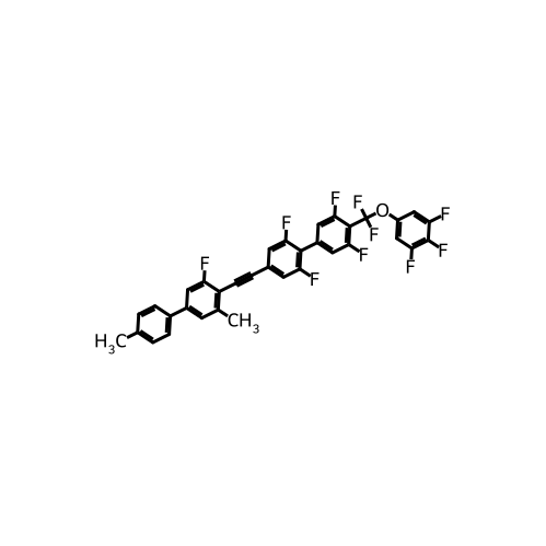 Cc1ccc(-c2cc(C)c(C#Cc3cc(F)c(-c4cc(F)c(C(F)(F)Oc5cc(F)c(F)c(F)c5)c(F)c4)c(F)c3)c(F)c2)cc1